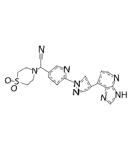 N#CC(c1ccc(-n2cc(-c3ccnc4[nH]cnc34)cn2)nc1)N1CCS(=O)(=O)CC1